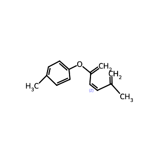 C=C(C)/C=C\C(=C)Oc1ccc(C)cc1